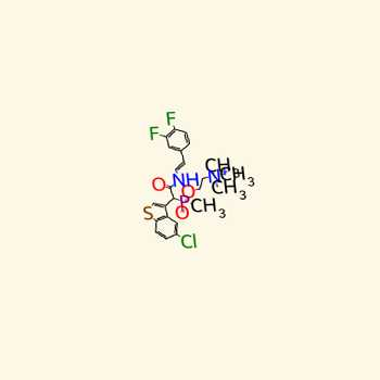 C[N+](C)(C)CCOP(C)(=O)C(C(=O)NC=Cc1ccc(F)c(F)c1)c1csc2ccc(Cl)cc12